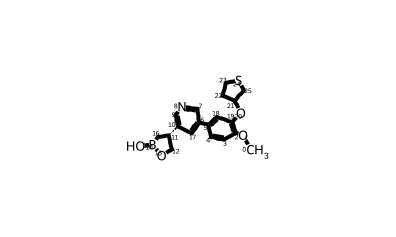 COc1ccc(-c2cncc([C@@H]3COB(O)C3)c2)cc1OC1CCSC1